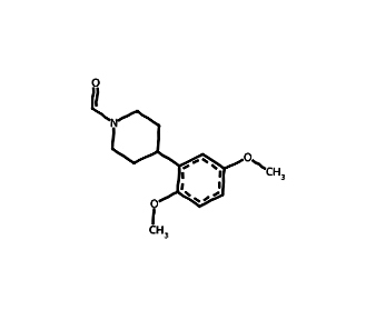 COc1ccc(OC)c(C2CCN(C=O)CC2)c1